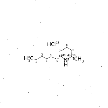 CCCCCC[C@@H]1CCC[C@@H](C)N1.Cl